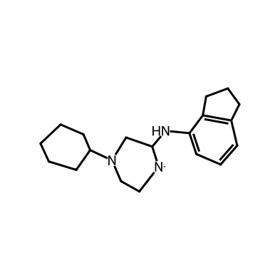 c1cc2c(c(NC3CN(C4CCCCC4)CC[N]3)c1)CCC2